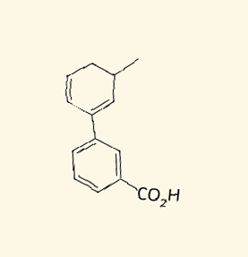 CC1C=C(c2cccc(C(=O)O)c2)C=CC1